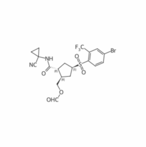 N#CC1(NC(=O)[C@@H]2C[C@@H](S(=O)(=O)c3ccc(Br)cc3C(F)(F)F)C[C@H]2COC=O)CC1